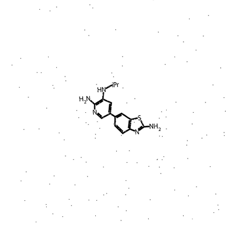 CC(C)Nc1cc(-c2ccc3nc(N)sc3c2)cnc1N